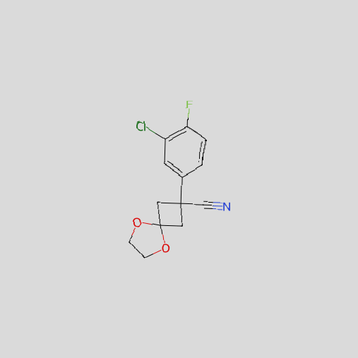 N#CC1(c2ccc(F)c(Cl)c2)CC2(C1)OCCO2